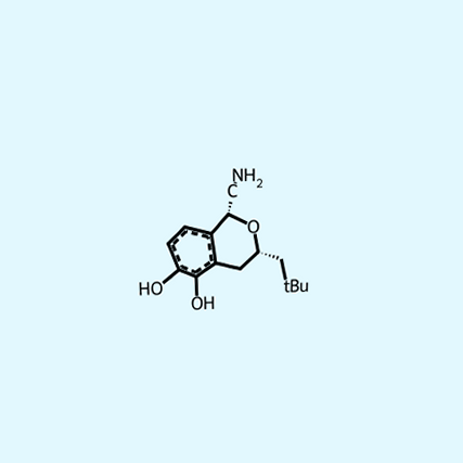 CC(C)(C)C[C@@H]1Cc2c(ccc(O)c2O)[C@H](CN)O1